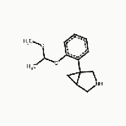 COC(C)Oc1ccccc1C12CNCC1C2